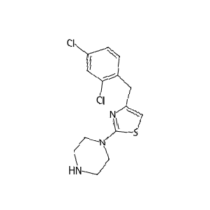 Clc1ccc(Cc2csc(N3CCNCC3)n2)c(Cl)c1